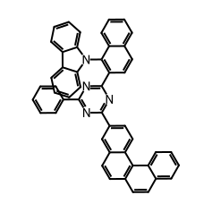 c1ccc(-c2nc(-c3ccc4c(ccc5ccc6ccccc6c54)c3)nc(-c3ccc4ccccc4c3-n3c4ccccc4c4ccccc43)n2)cc1